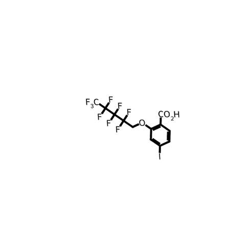 O=C(O)c1ccc(I)cc1OCC(F)(F)C(F)(F)C(F)(F)C(F)(F)F